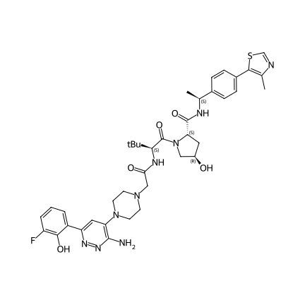 Cc1ncsc1-c1ccc([C@H](C)NC(=O)[C@@H]2C[C@@H](O)CN2C(=O)[C@@H](NC(=O)CN2CCN(c3cc(-c4cccc(F)c4O)nnc3N)CC2)C(C)(C)C)cc1